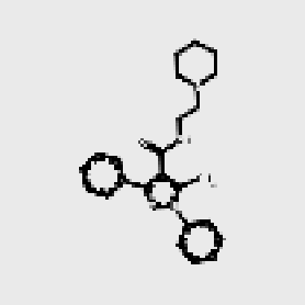 Cc1c(C(=O)NCCN2CCCCC2)c(-c2ccccc2)nn1-c1ccccc1